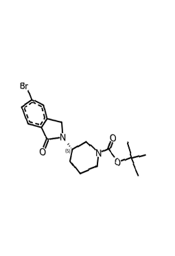 CC(C)(C)OC(=O)N1CCC[C@H](N2Cc3cc(Br)ccc3C2=O)C1